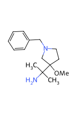 COC1(C(C)(C)N)CCN(Cc2ccccc2)C1